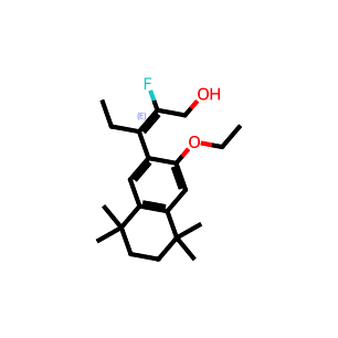 CCOc1cc2c(cc1/C(CC)=C(/F)CO)C(C)(C)CCC2(C)C